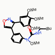 CCC(C)CNC(=O)N(OC)c1cccc(-c2conc2-c2cc(OC)c(OC)c(OC)c2)c1